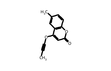 CC#COc1cc(=O)oc2ccc(C)cc12